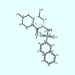 CC1CCN(C(=O)[C@H](CCI)NS(=O)(=O)c2ccc3ccccc3c2)CC1